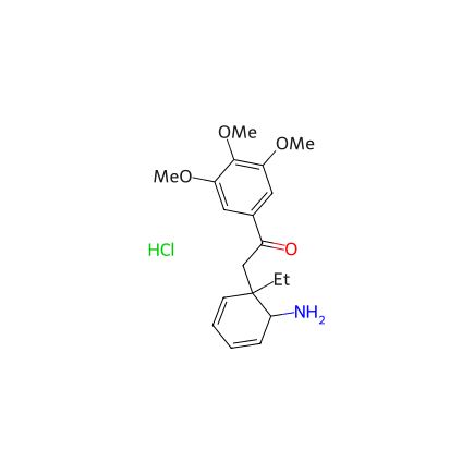 CCC1(CC(=O)c2cc(OC)c(OC)c(OC)c2)C=CC=CC1N.Cl